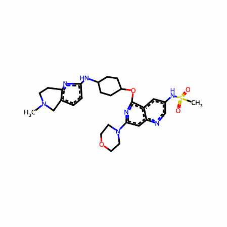 CN1CCc2nc(NC3CCC(Oc4nc(N5CCOCC5)cc5ncc(NS(C)(=O)=O)cc45)CC3)ccc2C1